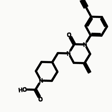 C=C1CN(CC2CCN(C(=O)O)CC2)C(=O)N(c2cccc(C#N)c2)C1